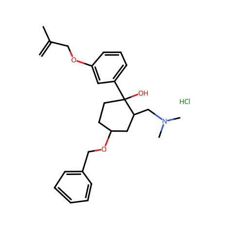 C=C(C)COc1cccc(C2(O)CCC(OCc3ccccc3)CC2CN(C)C)c1.Cl